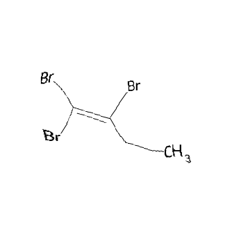 CCC(Br)=C(Br)Br